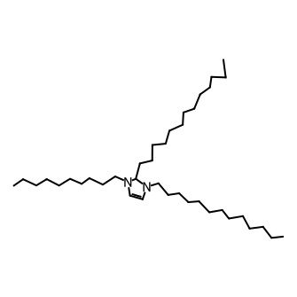 CCCCCCCCCCCCCC1N(CCCCCCCCCC)C=CN1CCCCCCCCCCCCC